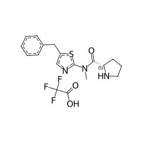 CN(C(=O)[C@@H]1CCCN1)c1ncc(Cc2ccccc2)s1.O=C(O)C(F)(F)F